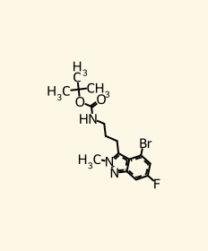 Cn1nc2cc(F)cc(Br)c2c1CCCNC(=O)OC(C)(C)C